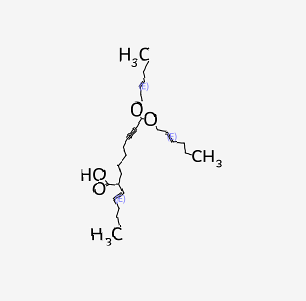 CCC/C=C/COC(C#CCCCCC(/C=C/CCCC)C(=O)O)OC/C=C/CCC